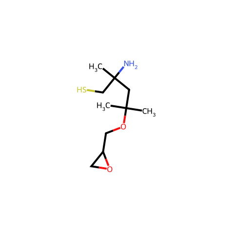 CC(N)(CS)CC(C)(C)OCC1CO1